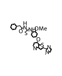 COc1cc(Oc2ccnc3cc(-c4nccn4C)sc23)ccc1NC(=S)NC(=O)Cc1ccccc1